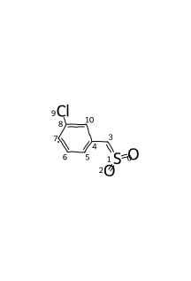 O=S(=O)=Cc1cc[c]c(Cl)c1